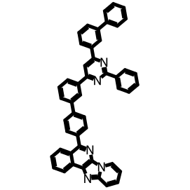 c1ccc(-c2cccc(-c3cc(-c4cccc(-c5ccc(-c6nc7c(nc8ccccn87)c7ccccc67)cc5)c4)nc(-c4ccccc4)n3)c2)cc1